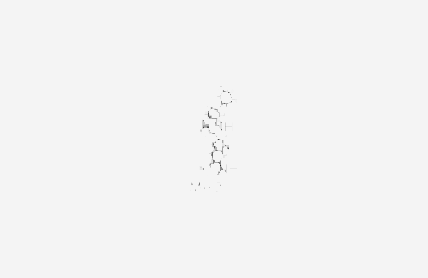 COCCNc1cc2ncc(C(=O)Nc3cc(-c4ccccc4)ccc3N)cc2cc1C1CC1